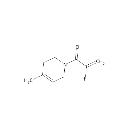 C=C(F)C(=O)N1CC=C(C)CC1